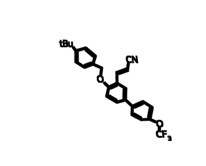 CC(C)(C)c1ccc(COc2ccc(-c3ccc(OC(F)(F)F)cc3)cc2C=CC#N)cc1